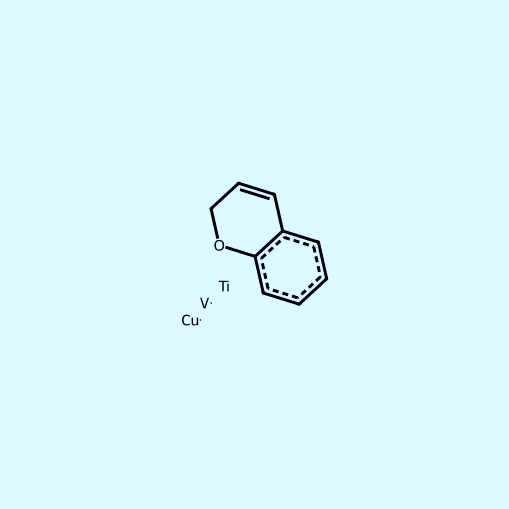 C1=Cc2ccccc2OC1.[Cu].[Ti].[V]